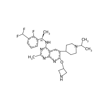 Cc1nc(N[C@H](C)c2cccc(C(F)F)c2F)c2cc(C3CCN(C(C)C)CC3)c(OC3CNC3)nc2n1